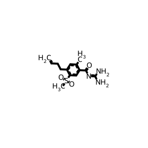 C=CCCc1cc(C)c(C(=O)N=C(N)N)cc1S(C)(=O)=O